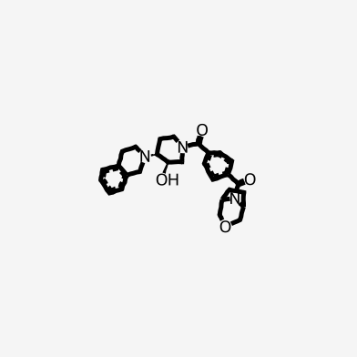 O=C(c1ccc(C(=O)N2C3CCC2COC3)cc1)N1CC[C@@H](N2CCc3ccccc3C2)[C@H](O)C1